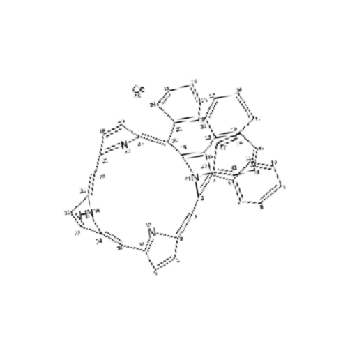 C1=Cc2cc3c(-c4ccccc4)c(-c4ccccc4)c(c(-c4ccccc4)c4nc(cc5ccc(cc1n2)[nH]5)C=C4)n3-c1ccccc1.[Ce]